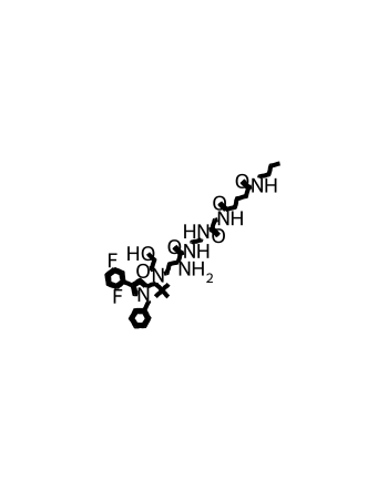 CCCCNC(=O)CCCC(=O)NCC(=O)NCCNC(=O)C(N)CCN(C(=O)CO)C(c1cc(-c2cc(F)ccc2F)cn1Cc1ccccc1)C(C)(C)C